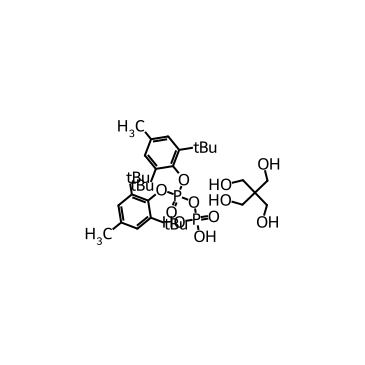 Cc1cc(C(C)(C)C)c(OP(=O)(Oc2c(C(C)(C)C)cc(C)cc2C(C)(C)C)OP(=O)(O)O)c(C(C)(C)C)c1.OCC(CO)(CO)CO